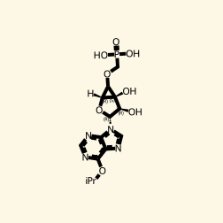 CC(C)Oc1ncnc2c1ncn2[C@@H]1O[C@@H]2C(OCP(=O)(O)O)[C@]2(O)[C@H]1O